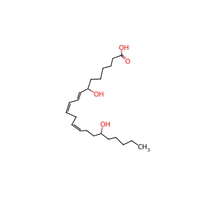 CCCCCC(O)CC/C=C\C/C=C\C=C\C(O)CCCCCC(=O)O